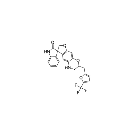 O=C1Nc2ccccc2C12COc1cc3c(cc12)NCC(Cc1ccc(C(F)(F)F)o1)O3